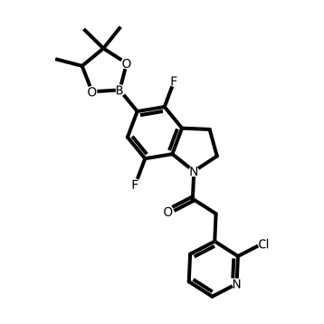 CC1OB(c2cc(F)c3c(c2F)CCN3C(=O)Cc2cccnc2Cl)OC1(C)C